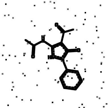 CC(=O)Nc1[nH]n(-c2ccccc2)c(=O)c1C(C)=O